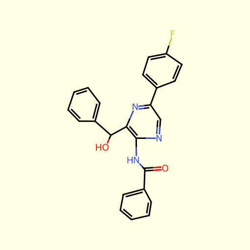 O=C(Nc1ncc(-c2ccc(F)cc2)nc1C(O)c1ccccc1)c1ccccc1